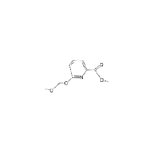 COCOc1cccc(C(=O)OC)n1